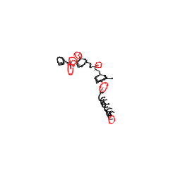 COc1cc(/C=C/C(=O)/C=C/c2ccc(OC=C=C=C=C=C=C=O)c(C)c2)ccc1OC(=O)c1ccccc1